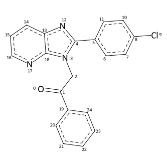 O=C(Cn1c(-c2ccc(Cl)cc2)nc2cccnc21)c1ccccc1